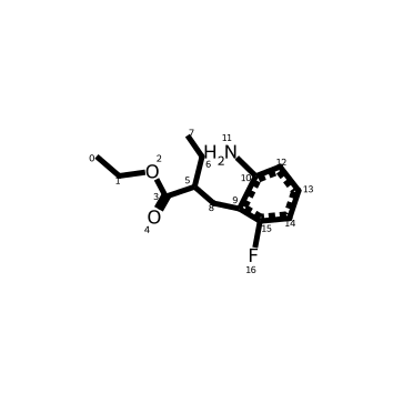 CCOC(=O)C(CC)Cc1c(N)cccc1F